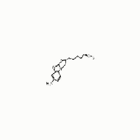 C=CCCCCC1Cn2c(nc3cc(N)ccc32)O1